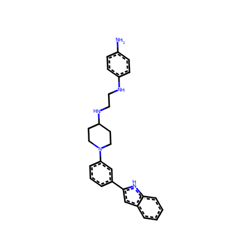 Nc1ccc(NCCNC2CCN(c3cccc(-c4cc5ccccc5[nH]4)c3)CC2)cc1